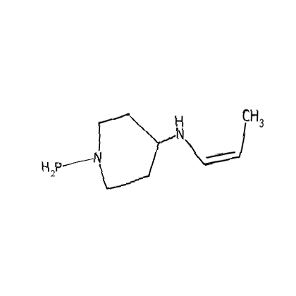 C/C=C\NC1CCN(P)CC1